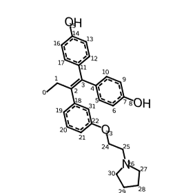 CCC(=C(c1ccc(O)cc1)c1ccc(O)cc1)c1cccc(OCCN2CCCC2)c1